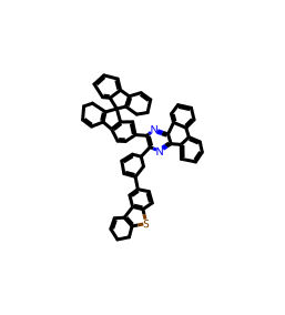 C1=CC(c2nc3c4ccccc4c4ccccc4c3nc2-c2ccc3c(c2)C2(C4=C(C=CCC4)c4ccccc42)C2=C3C=CCC2)CC(c2ccc3sc4c(c3c2)C=CCC4)=C1